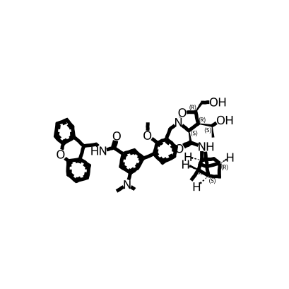 COc1c(CN2O[C@@H](CO)[C@@H]([C@H](C)O)[C@H]2C(=O)N[C@H]2C[C@H]3C[C@@H]([C@@H]2C)C3(C)C)cccc1-c1cc(C(=O)NCC2c3ccccc3Oc3ccccc32)cc(N(C)C)c1